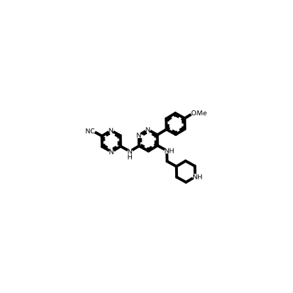 COc1ccc(-c2nnc(Nc3cnc(C#N)cn3)cc2NCC2CCNCC2)cc1